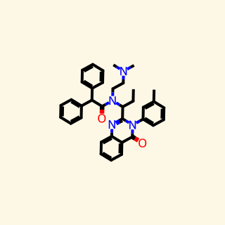 CCC(c1nc2ccccc2c(=O)n1-c1cccc(C)c1)N(CCN(C)C)C(=O)C(c1ccccc1)c1ccccc1